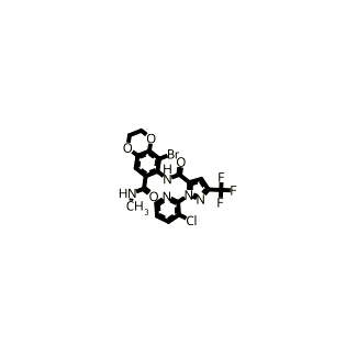 CNC(=O)c1cc2c(c(Br)c1NC(=O)c1cc(C(F)(F)F)nn1-c1ncccc1Cl)OCCO2